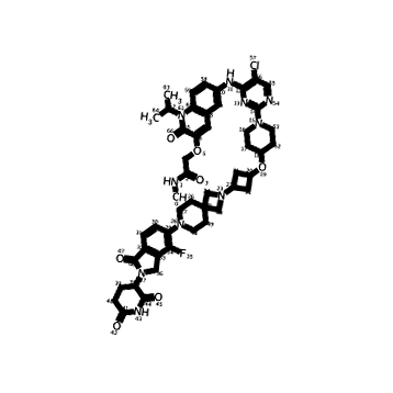 CNC(=O)COc1cc2cc(Nc3nc(N4CCC(OC5CC(N6CC7(CCN(c8ccc9c(c8F)CN(C8CCC(=O)NC8=O)C9=O)CC7)C6)C5)CC4)ncc3Cl)ccc2n(C(C)C)c1=O